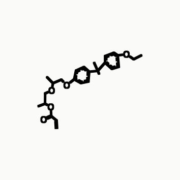 C=CC(=O)OC(C)COC(C)COc1ccc(C(C)(C)c2ccc(OCC)cc2)cc1